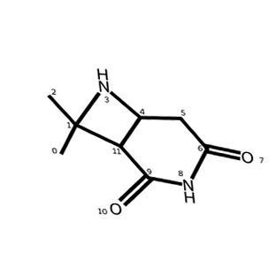 CC1(C)NC2CC(=O)NC(=O)C21